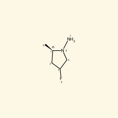 C[C@@H]1CC(F)CN1N